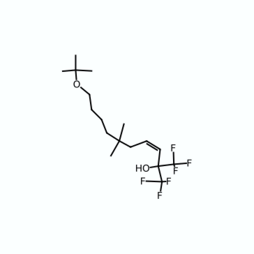 CC(C)(C/C=C\C(O)(C(F)(F)F)C(F)(F)F)CCCCOC(C)(C)C